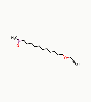 C#CCOCCCCCCCCCCCP(=C)=O